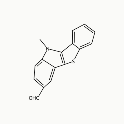 Cn1c2ccc(C=O)cc2c2sc3ccccc3c21